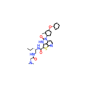 CCC[C@@H](CNC(=O)CN(C)C)NC(=O)c1sc2nccc3c2c1NC(=O)N3c1ccc(Oc2ccccc2)cc1C